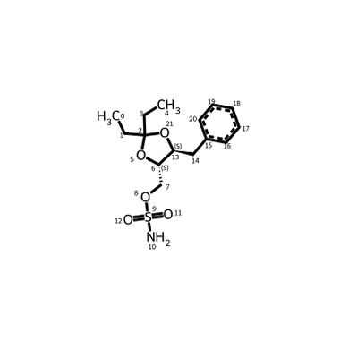 CCC1(CC)O[C@@H](COS(N)(=O)=O)[C@H](Cc2ccccc2)O1